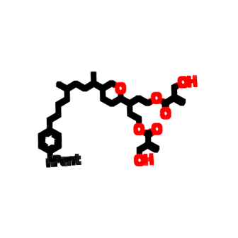 C=C(CO)C(=O)OCCC(CCOC(=O)C(=C)CO)C1CCC(C(C)CCC(C)CCCCc2ccc(CCCCC)cc2)CO1